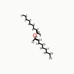 CCCCCCCC=C(C)OC(C)=CCCCCCCC